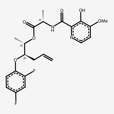 C=CC[C@@H](Oc1ccc(F)cc1F)[C@H](C)OC(=O)[C@H](C)NC(=O)c1nccc(OC)c1O